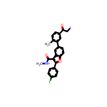 CNC(=O)c1c(-c2ccc(F)cc2)oc2ccc(-c3cc(C(=O)CI)ccc3C)cc12